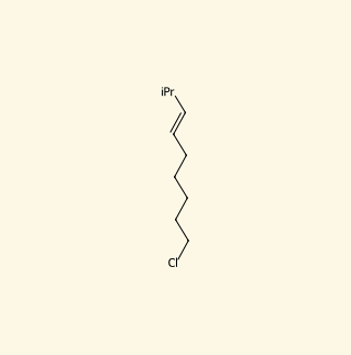 CC(C)C=CCCCCCCl